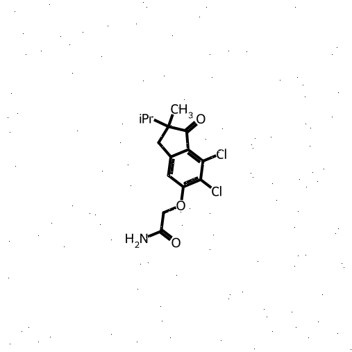 CC(C)C1(C)Cc2cc(OCC(N)=O)c(Cl)c(Cl)c2C1=O